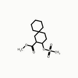 COC(=O)C1CC2(CCCCC2)CCC1OS(C)(=O)=O